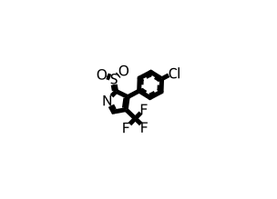 O=S(=O)=C1N=CC(C(F)(F)F)=C1c1ccc(Cl)cc1